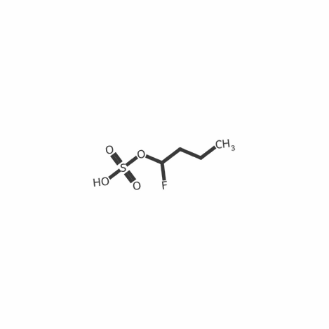 CCCC(F)OS(=O)(=O)O